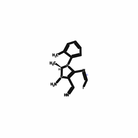 Cc1ccccc1N1C(/N=C\I)=C(C=N)N(N)[C@@H]1C